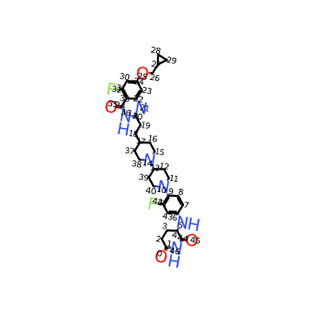 O=C1CCC(Nc2ccc(N3CCC(N4CCC(CCc5nc6cc(OCC7CC7)cc(F)c6c(=O)[nH]5)CC4)CC3)c(F)c2)C(=O)N1